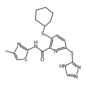 Cc1csc(NC(=O)c2nc(Sc3nnc[nH]3)ccc2SC2CCCCC2)n1